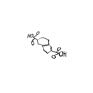 O=S(=O)(O)c1ccc2c(c1)CCC(S(=O)(=O)O)C2